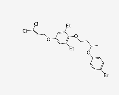 CCc1cc(OCC=C(Cl)Cl)cc(CC)c1OCCC(C)Oc1ccc(Br)cc1